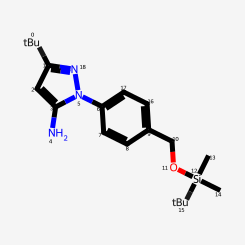 CC(C)(C)c1cc(N)n(-c2ccc(CO[Si](C)(C)C(C)(C)C)cc2)n1